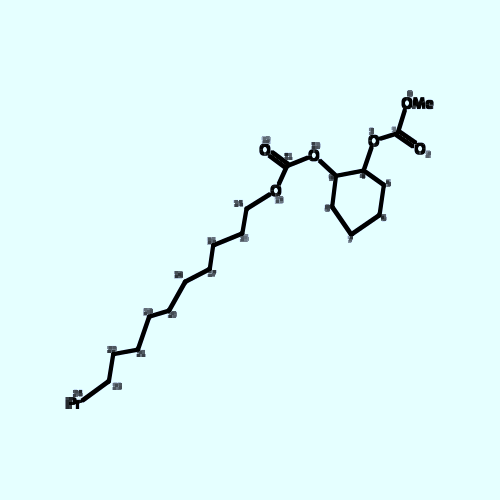 COC(=O)OC1CCCCC1OC(=O)OCCCCCCCCCCC(C)C